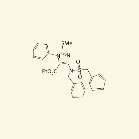 CCOC(=O)c1c(N(Cc2ccccc2)S(=O)(=O)Cc2ccccc2)nc(SC)n1-c1ccccc1